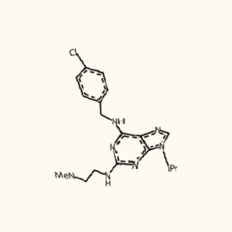 CNCCNc1nc(NCc2ccc(Cl)cc2)c2ncn(C(C)C)c2n1